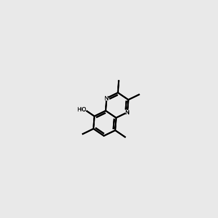 Cc1cc(C)c2nc(C)c(C)nc2c1O